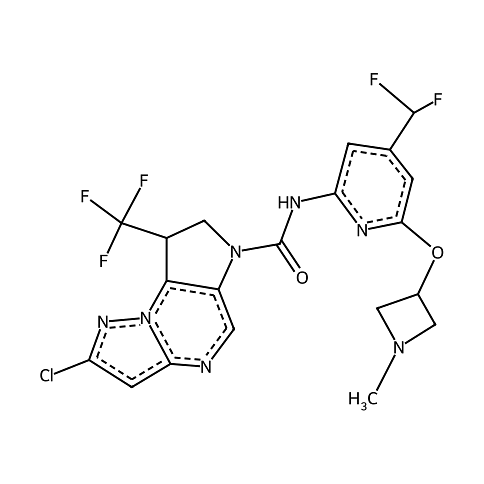 CN1CC(Oc2cc(C(F)F)cc(NC(=O)N3CC(C(F)(F)F)c4c3cnc3cc(Cl)nn43)n2)C1